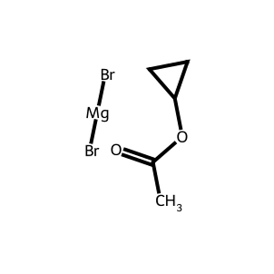 CC(=O)OC1CC1.[Br][Mg][Br]